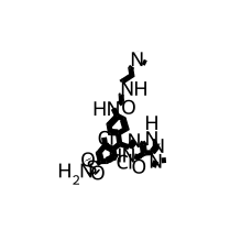 CN(C)CCCNCC(=O)Nc1ccc(C(c2nc3[nH]nc(N(C)C)c3c(=O)[nH]2)c2c(Cl)cc(S(N)(=O)=O)cc2Cl)cc1